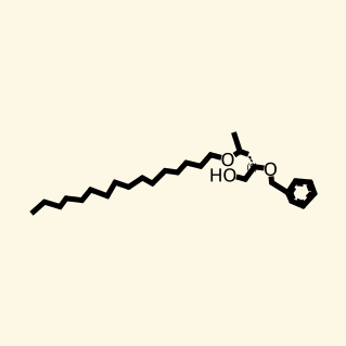 CCCCCCCCCCCCCCCCOC(C)C[C@@H](CO)OCc1ccccc1